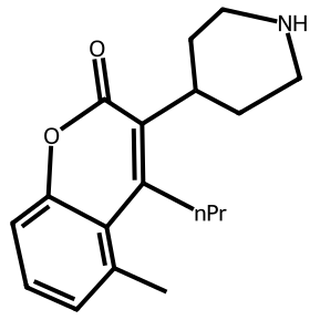 CCCc1c(C2CCNCC2)c(=O)oc2cccc(C)c12